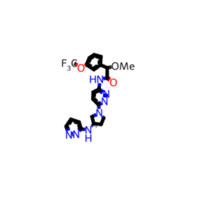 COC(C(=O)Nc1ccc(N2CC[C@@H](Nc3cccnn3)C2)nn1)c1cccc(OC(F)(F)F)c1